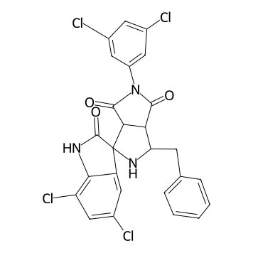 O=C1C2C(Cc3ccccc3)NC3(C(=O)Nc4c(Cl)cc(Cl)cc43)C2C(=O)N1c1cc(Cl)cc(Cl)c1